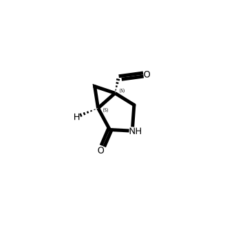 O=C[C@]12CNC(=O)[C@H]1C2